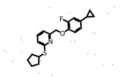 Fc1cc(C2CC2)ccc1OCc1cccc(SC2CCCC2)n1